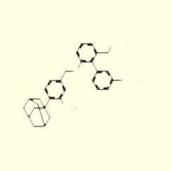 CCOC(=O)c1cccc(-c2c(CC(=O)O)cccc2OCc2ccc(C34CC5CC(CC(C5)C3)C4)c(OC)c2)c1